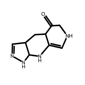 O=C1CNC=C2NC3NN=CC3CC12